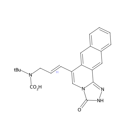 CC(C)(C)N(C/C=C/c1cn2c(=O)[nH]nc2c2cc3ccccc3cc12)C(=O)O